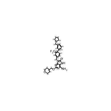 Nc1nc(OCC2CCOCC2)nc2c1[nH]c(=O)n2Cc1ccc(-c2cccc(CN3CCCC3)c2)c(C(F)(F)F)c1